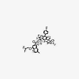 Cc1cnc2c(OCC(F)F)cc(C(=O)NCC(O)(c3cc4c(c(-c5ccc(F)cc5)n3)OC[C@@]4(C(N)=O)C(F)F)C(F)(F)F)cc2c1